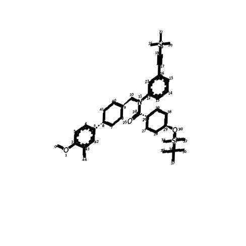 COc1ccc([C@H]2CC[C@H](CN(c3cccc(C#C[Si](C)(C)C)c3)C(=O)[C@H]3CC[C@H](O[Si](C)(C)C(C)(C)C)CC3)CC2)cc1C